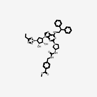 CCc1nnn([C@H]2C[C@@H](n3cnc4c(NCC(c5ccccc5)c5ccccc5)nc(N5CC[C@@H](NC(=O)NCc6ccc(C(=O)OC)cc6)C5)nc43)[C@H](O)[C@@H]2O)n1